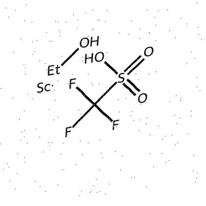 CCO.O=S(=O)(O)C(F)(F)F.[Sc]